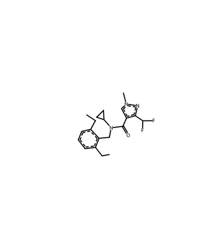 CCc1cccc(CC)c1CN(C(=O)c1cn(C)nc1C(F)F)C1CC1